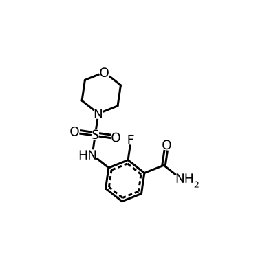 NC(=O)c1cccc(NS(=O)(=O)N2CCOCC2)c1F